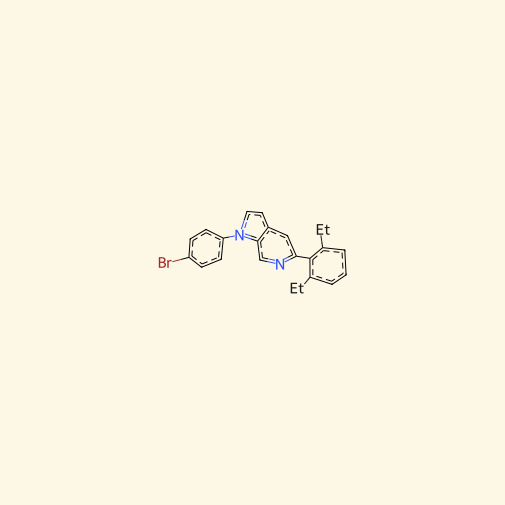 CCc1cccc(CC)c1-c1cc2ccn(-c3ccc(Br)cc3)c2cn1